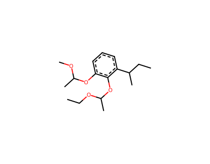 CCOC(C)Oc1c(OC(C)OC)cccc1C(C)CC